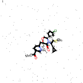 COC(=O)c1ccc(C[C@@]2(C)OC[C@@H](c3ccc(Cl)cc3)N(C(CSC(C)(C)C)C3CC3)C2=O)nc1